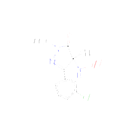 CN1N=C(c2cccc(Cl)c2)C(C)(NO)C1=O